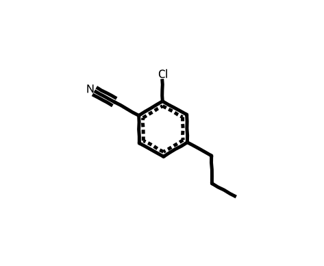 CCCc1ccc(C#N)c(Cl)c1